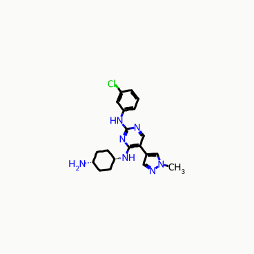 Cn1cc(-c2cnc(Nc3cccc(Cl)c3)nc2N[C@H]2CC[C@@H](N)CC2)cn1